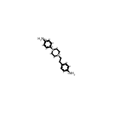 Nc1ccc(CCN2CCN(c3ccc(N)cc3)CC2)cc1